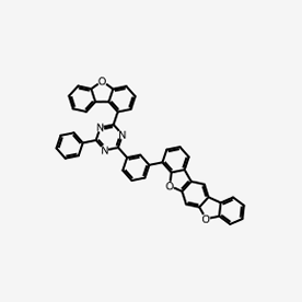 c1ccc(-c2nc(-c3cccc(-c4cccc5c4oc4cc6oc7ccccc7c6cc45)c3)nc(-c3cccc4oc5ccccc5c34)n2)cc1